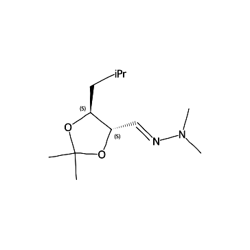 CC(C)C[C@@H]1OC(C)(C)O[C@H]1C=NN(C)C